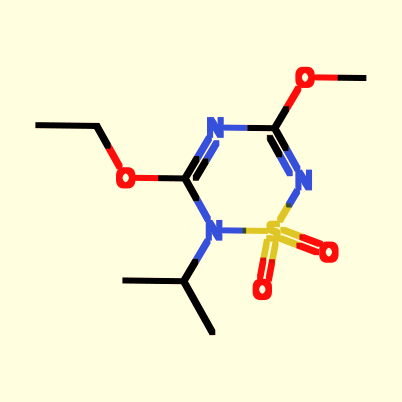 CCOC1=NC(OC)=NS(=O)(=O)N1C(C)C